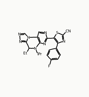 CCC1c2nncn2-c2cnc(-c3sc(C#N)nc3-c3ccc(F)cc3)nc2N1C(C)C